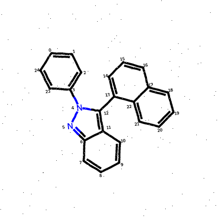 c1ccc(-n2nc3ccccc3c2-c2cccc3ccccc23)cc1